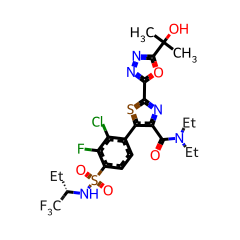 CC[C@H](NS(=O)(=O)c1ccc(-c2sc(-c3nnc(C(C)(C)O)o3)nc2C(=O)N(CC)CC)c(Cl)c1F)C(F)(F)F